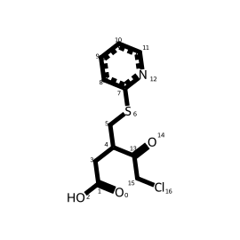 O=C(O)CC(CSc1ccccn1)C(=O)CCl